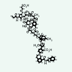 Cc1c(-c2ccc(N3CCc4cccc(C(=O)Nc5nc6ccccc6s5)c4C3)nc2C(=O)O)cnn1CC12CC3(C)CC(C)(C1)CC(OCCN(CCC(N)=O)C(=O)OCc1ccc(NC(=O)[C@H](C)NC(=O)[C@@H](NC(=O)CN4C(=O)[C@@H](NC(=O)CI)C[C@H]4COCCS(=O)(=O)O)C(C)C)cc1CC[C@@H]1O[C@H](C(=O)O)[C@@H](O)[C@H](O)[C@H]1O)(C3)C2